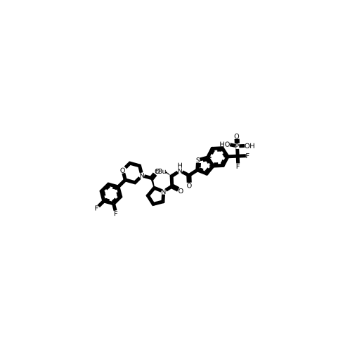 CC(C)(C)[C@H](NC(=O)c1cc2cc(C(F)(F)P(=O)(O)O)ccc2s1)C(=O)N1CCC[C@H]1C(=O)N1CCOC(c2ccc(F)c(F)c2)C1